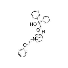 OC(CO[C@@H]1C[N+]2(CCOc3ccccc3)CCC1CC2)(c1ccccc1)C1CCCC1